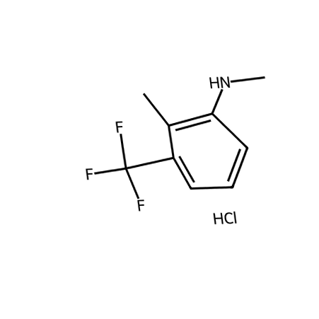 CNc1cccc(C(F)(F)F)c1C.Cl